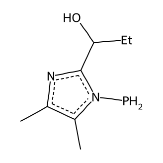 CCC(O)c1nc(C)c(C)n1P